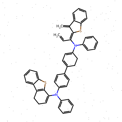 C=C/C(=c1/sc2ccccc2c1=C)N(C1=CC=C(c2ccc(N(C3=CCCc4c3sc3ccccc43)c3ccccc3)cc2)CC1)c1ccccc1